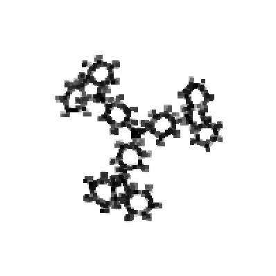 c1ccc2c3ccccc3n(-c3ccc(N(c4ccc(-n5c6ccccc6c6ccccc65)cc4)c4ccc(-n5c6ccccc6c6ccccc65)cc4)cc3)c2c#1